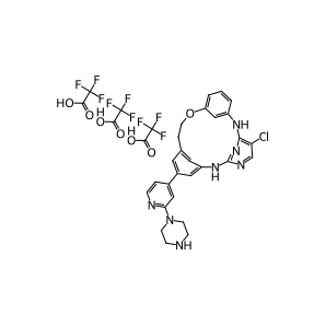 Clc1cnc2nc1Nc1cccc(c1)OCCc1cc(cc(-c3ccnc(N4CCNCC4)c3)c1)N2.O=C(O)C(F)(F)F.O=C(O)C(F)(F)F.O=C(O)C(F)(F)F